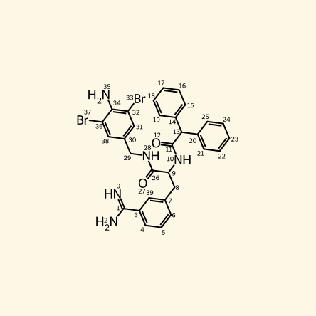 N=C(N)c1cccc(CC(NC(=O)C(c2ccccc2)c2ccccc2)C(=O)NCc2cc(Br)c(N)c(Br)c2)c1